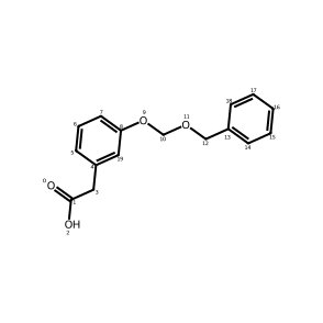 O=C(O)Cc1cccc(OCOCc2ccccc2)c1